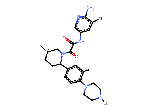 CCc1cc(NC(=O)C(=O)N2C[C@@H](C)CCC2c2ccc(N3CCN(CC)CC3)c(C)c2)cnc1N